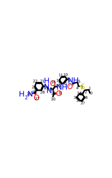 CCC(SCCC(=O)Nc1cccc(NC(=O)/C(=N\Nc2cccc(C(N)=O)c2)C(C)=O)c1)c1ccccc1